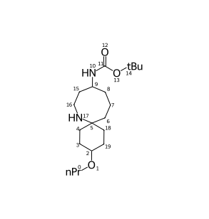 CCCOC1CCC2(CCCC(NC(=O)OC(C)(C)C)CCN2)CC1